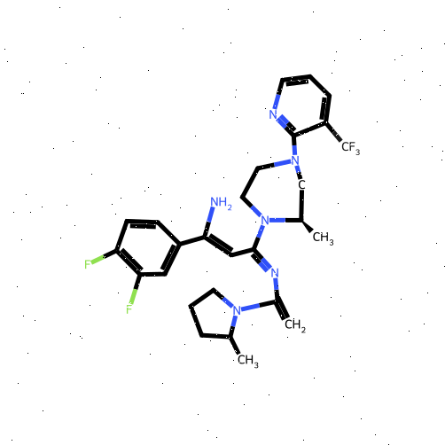 C=C(/N=C(\C=C(/N)c1ccc(F)c(F)c1)N1CCN(c2ncccc2C(F)(F)F)C[C@H]1C)N1CCCC1C